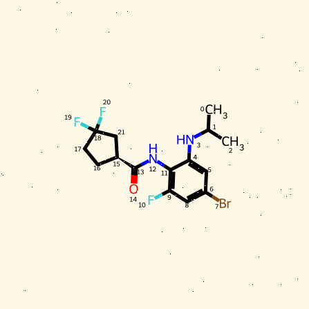 CC(C)Nc1cc(Br)cc(F)c1NC(=O)[C@H]1CCC(F)(F)C1